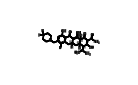 CN(C)[C@@H]1C(O)=C(C(N)=O)C(=O)[C@@]2(O)C(O)=C3C(=O)c4c(O)cc(CN5CCC(F)(F)CC5)c(F)c4C[C@H]3C[C@@H]12